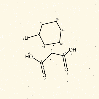 O=C(O)CC(=O)O.[Li][CH]1CCCCC1